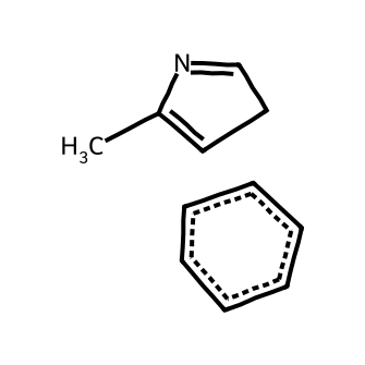 CC1=CCC=N1.c1ccccc1